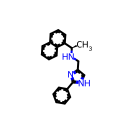 C[C@@H](NCc1c[nH]c(-c2ccccc2)n1)c1cccc2ccccc12